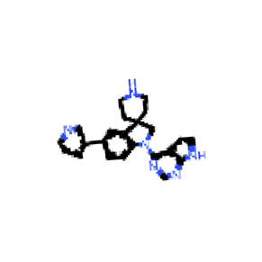 c1cncc(-c2ccc3c(c2)C2(CCNCC2)CN3c2ncnc3[nH]ccc23)c1